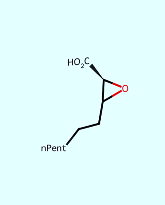 CCCCCCCC1O[C@@H]1C(=O)O